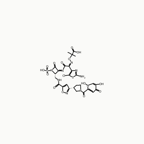 CC(C)(O/N=C(\C(=O)/N=C1\C(=O)N(S(=O)(=O)O)[C@H]1CNC(=O)c1cc([C@@H]2CCN(C(=O)c3cc(=O)c(O)cn3O)C2)no1)c1nc(N)sc1Cl)C(=O)O